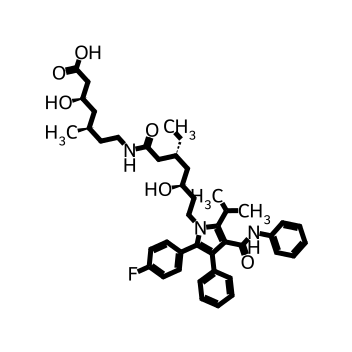 CC[C@@H](CC(=O)NCC[C@@H](C)C[C@@H](O)CC(=O)O)C[C@H](O)CCn1c(-c2ccc(F)cc2)c(-c2ccccc2)c(C(=O)Nc2ccccc2)c1C(C)C